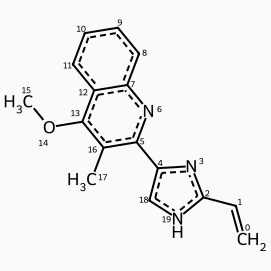 C=Cc1nc(-c2nc3ccccc3c(OC)c2C)c[nH]1